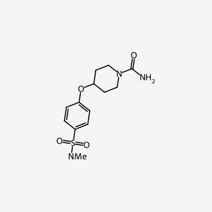 CNS(=O)(=O)c1ccc(OC2CCN(C(N)=O)CC2)cc1